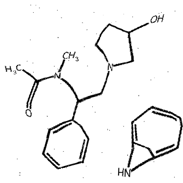 CC(=O)N(C)C(CN1CCC(O)C1)c1ccccc1.c1ccc2c(c1)N2